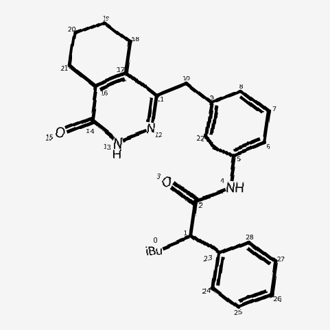 CCC(C)C(C(=O)Nc1cccc(Cc2n[nH]c(=O)c3c2CCCC3)c1)c1ccccc1